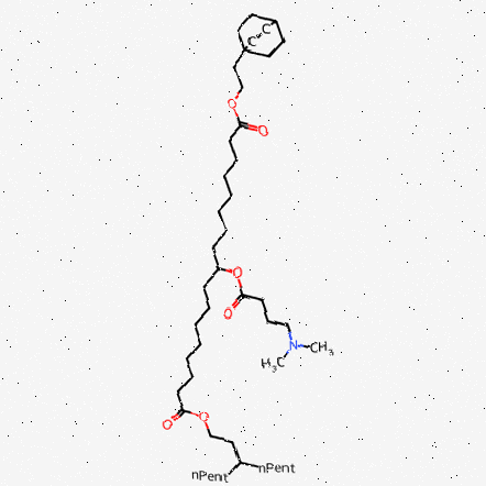 CCCCCC(CCCCC)CCOC(=O)CCCCCCCC(CCCCCCCC(=O)OCCC12CCC(CC1)CC2)OC(=O)CCCN(C)C